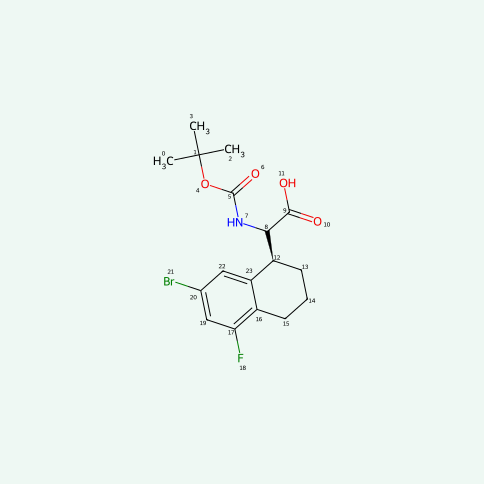 CC(C)(C)OC(=O)NC(C(=O)O)[C@H]1CCCc2c(F)cc(Br)cc21